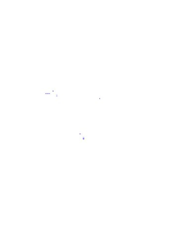 C1=CCC(N2C3CCC=CC3N3C4C=CCCC4NC32)C=C1